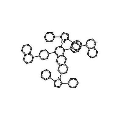 c1ccc(-c2ccc(-c3ccccc3)n2-c2ccc3cc4c(-c5ccc(-c6cccc7ccccc67)cc5)c(-n5c(-c6ccccc6)ccc5-c5ccccc5)cc(-c5ccc(-c6cccc7ccccc67)cc5)c4cc3c2)cc1